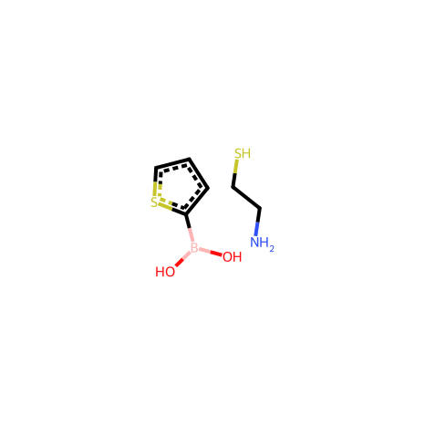 NCCS.OB(O)c1cccs1